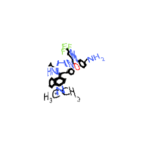 CN(C)c1ccc(C(NCC2CC2)c2cccc(NC(=O)c3cc(C(F)(F)F)nn3-c3cccc(CN)c3)c2)c2ccccc12